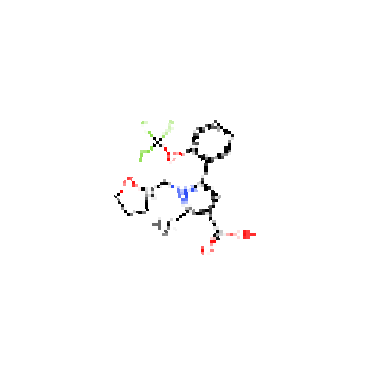 Cc1c(C(=O)O)cc(-c2ccccc2OC(F)(F)F)n1C[C@H]1CCCO1